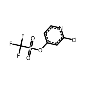 O=S(=O)(Oc1ccnc(Cl)c1)C(F)(F)F